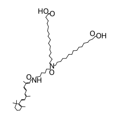 CC(C=CC1=C(C)CCCC1(C)C)=CC=CC(C)=CC(=O)NCCCCCC(=O)N(CCCCCCCCCCCCCCCC(=O)O)CCCCCCCCCCCCCCCC(=O)O